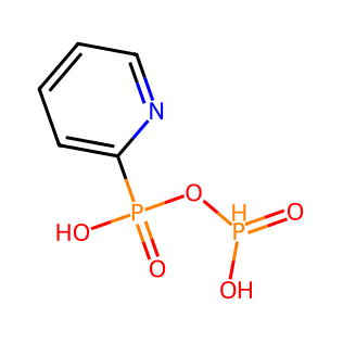 O=[PH](O)OP(=O)(O)c1ccccn1